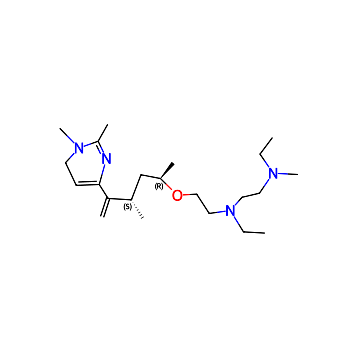 C=C(C1=CCN(C)C(C)=N1)[C@@H](C)C[C@@H](C)OCCN(CC)CCN(C)CC